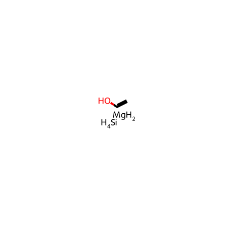 C=CO.[MgH2].[SiH4]